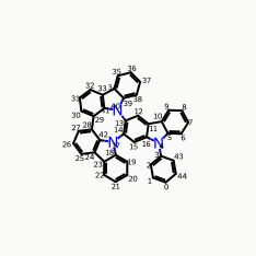 c1ccc(-n2c3ccccc3c3cc4c(cc32)n2c3ccccc3c3cccc(c5cccc6c7ccccc7n4c65)c32)cc1